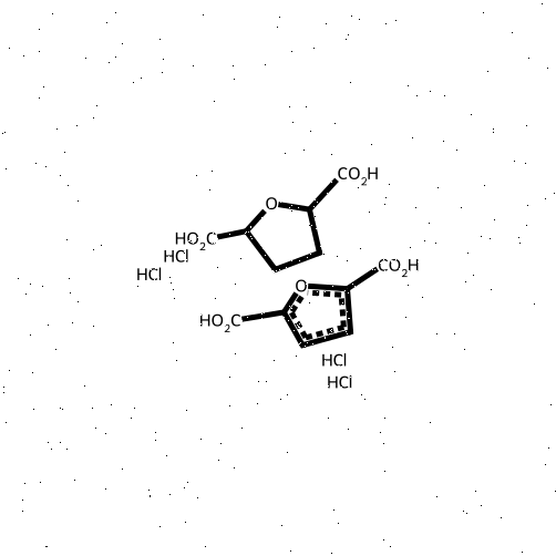 Cl.Cl.Cl.Cl.O=C(O)C1CCC(C(=O)O)O1.O=C(O)c1ccc(C(=O)O)o1